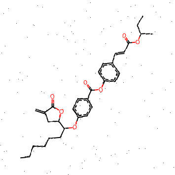 C=C1CC(C(CCCCCC)Oc2ccc(C(=O)Oc3ccc(/C=C/C(=O)OC(C)CC)cc3)cc2)OC1=O